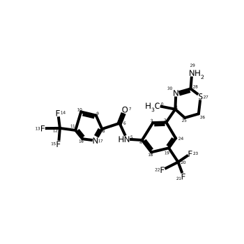 CC1(c2cc(NC(=O)c3ccc(C(F)(F)F)cn3)cc(C(F)(F)F)c2)CCSC(N)=N1